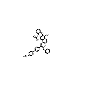 CCCc1ccc(-c2ccc(C(=O)N(Cc3ccccc3)Cc3ccc4c(Br)c(Oc5ccccc5OC(=O)CC)ccc4c3)cc2)cc1